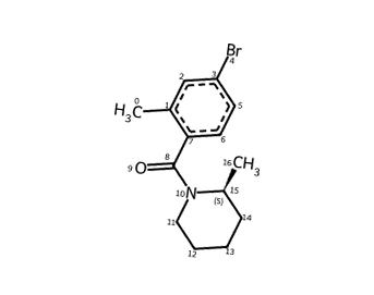 Cc1cc(Br)ccc1C(=O)N1CCCC[C@@H]1C